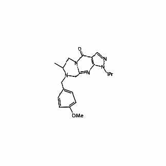 COc1ccc(CN2Cc3nc4c(cnn4C(C)C)c(=O)n3CC2C)cc1